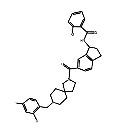 O=C(NC1CCc2ccc(C(=O)N3CCC4(CCN(Cc5ccc(F)cc5F)CC4)C3)cc21)c1ccccc1Cl